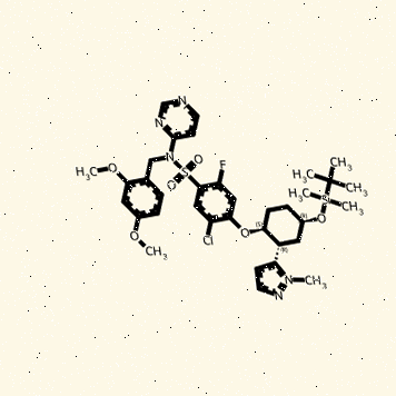 COc1ccc(CN(c2ccncn2)S(=O)(=O)c2cc(Cl)c(O[C@H]3CC[C@@H](O[Si](C)(C)C(C)(C)C)C[C@@H]3c3ccnn3C)cc2F)c(OC)c1